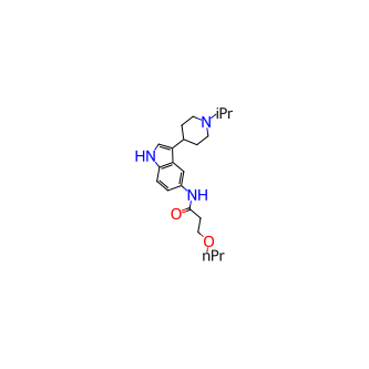 CCCOCCC(=O)Nc1ccc2[nH]cc(C3CCN(C(C)C)CC3)c2c1